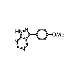 COc1ccc(-c2n[nH]c3ncncc23)cc1